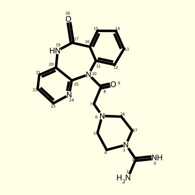 N=C(N)N1CCN(CC(=O)N2c3ccccc3C(=O)Nc3cccnc32)CC1